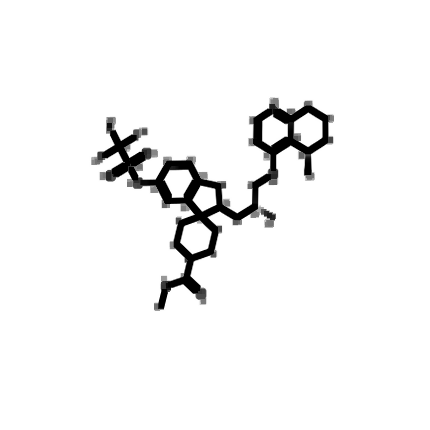 COC(=O)C1CCC2(CC1)c1cc(OS(=O)(=O)C(F)(F)F)ccc1CC2C[C@@H](C)COc1ccnc2c1[C@H](C)CCC2